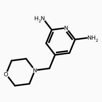 Nc1cc(CN2CCOCC2)cc(N)n1